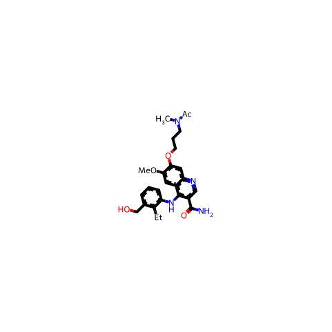 CCc1c(CO)cccc1Nc1c(C(N)=O)cnc2cc(OCCCN(C)C(C)=O)c(OC)cc12